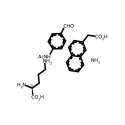 CC(=O)Nc1ccc(C=O)cc1.N.NCCC[C@H](N)C(=O)O.O=C(O)Cc1ccc2ccccc2c1